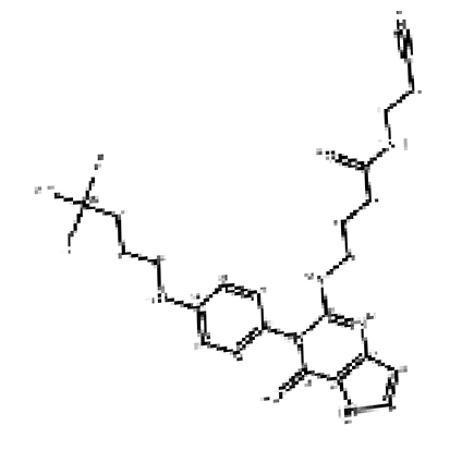 N#CCCNC(=O)CCCSc1nc2cc[nH]c2c(=O)n1-c1ccc(OCCCC(F)(F)F)cc1